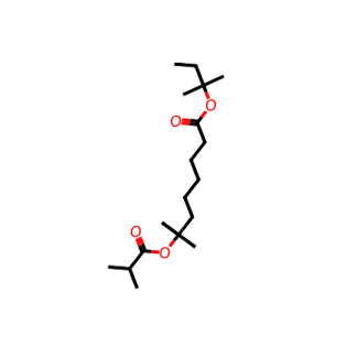 CCC(C)(C)OC(=O)CCCCCC(C)(C)OC(=O)C(C)C